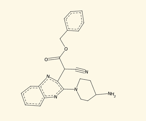 N#CC(C(=O)OCc1ccccc1)c1nc2ccccc2nc1N1CCC(N)CC1